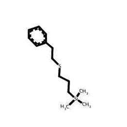 C[Si](C)(C)CCCSCCc1ccccc1